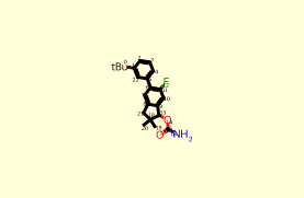 CC(C)(C)c1cccc(-c2cc3c(cc2F)C(OC(N)=O)C(C)(C)C3)c1